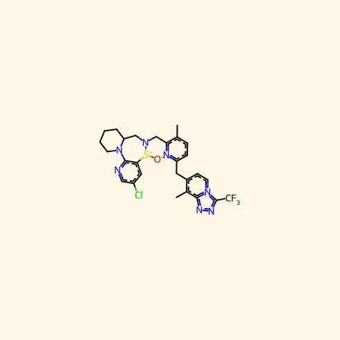 Cc1ccc(Cc2ccn3c(C(F)(F)F)nnc3c2C)nc1CN1CC2CCCCN2c2ncc(Cl)cc2[S+]1[O-]